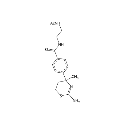 CC(=O)NCCNC(=O)c1ccc(C2(C)CCSC(N)=N2)cc1